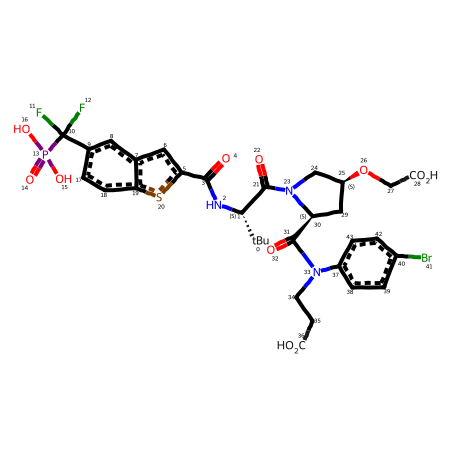 CC(C)(C)[C@H](NC(=O)c1cc2cc(C(F)(F)P(=O)(O)O)ccc2s1)C(=O)N1C[C@@H](OCC(=O)O)C[C@H]1C(=O)N(CCC(=O)O)c1ccc(Br)cc1